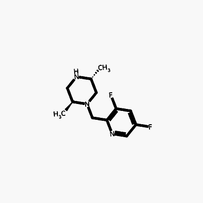 C[C@@H]1CN(Cc2ncc(F)cc2F)[C@@H](C)CN1